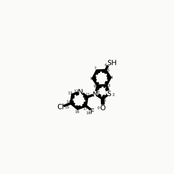 O=c1sc2cc(S)ccc2n1-c1ncc(Cl)cc1F